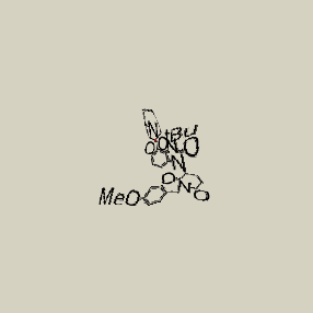 COc1ccc(CN2C(=O)CCC(n3c(=O)n(C)c4c(C5CC6CCC(C5)N6C(=O)OC(C)(C)C)cccc43)C2=O)cc1